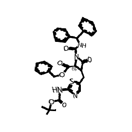 CC(C)(C)OC(=O)Nc1ncc(CC2C(=O)N(C(=O)NC(c3ccccc3)c3ccccc3)[C@@H]2C(=O)OCc2ccccc2)s1